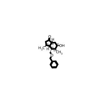 C[C@H]1[C@H](COCc2ccccc2)[C@@H]2[C@@H](C)CC(=O)[C@@H]2C[C@H]1O